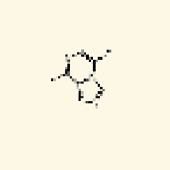 Cc1ncc(F)n2cncc12